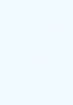 CCC(CC(C)(CC)C(=O)Oc1ccc(C2(c3ccc(C(C)(C)CC)c(C)c3)CCCCC2)cc1C)C(=O)OC(C)(CC)CC